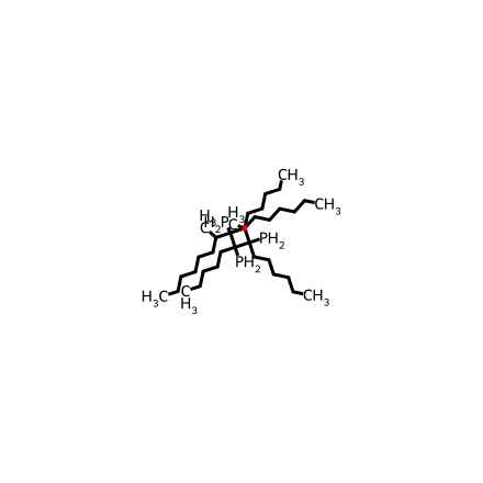 CCCCCCC(C)C(P)(CCCCCC)C(P)(CCCCC)C(P)(CCCCCC)C(C)CCCCCC